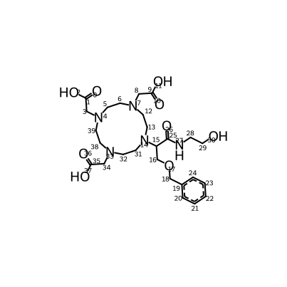 O=C(O)CN1CCN(CC(=O)O)CCN(C(COCc2ccccc2)C(=O)NCCO)CCN(CC(=O)O)CC1